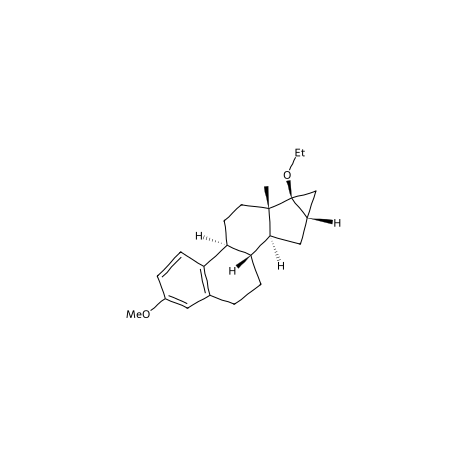 CCO[C@@]12C[C@@H]1C[C@H]1[C@@H]3CCc4cc(OC)ccc4[C@H]3CC[C@@]12C